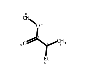 [C-]#[N+]OC(=O)C(C)CC